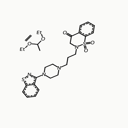 C=C.CCOC(C)OCC.O=C1CN(CCCN2CCN(c3nsc4ccccc34)CC2)S(=O)(=O)c2ccccc21